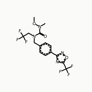 CON(C)C(=O)N(Cc1ccc(-c2noc(C(F)(F)F)n2)cc1)CC(F)(F)F